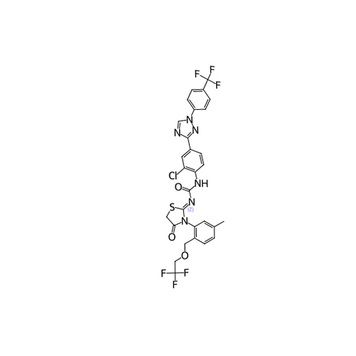 Cc1ccc(COCC(F)(F)F)c(N2C(=O)CS/C2=N\C(=O)Nc2ccc(-c3ncn(-c4ccc(C(F)(F)F)cc4)n3)cc2Cl)c1